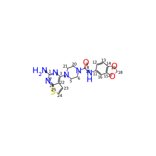 Nc1nc(N2CCN(C(=O)Nc3ccc4c(c3)OCO4)CC2)c2ccsc2n1